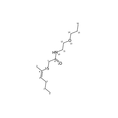 CCC/C=C(/C)SCC(=O)NCCOCCC